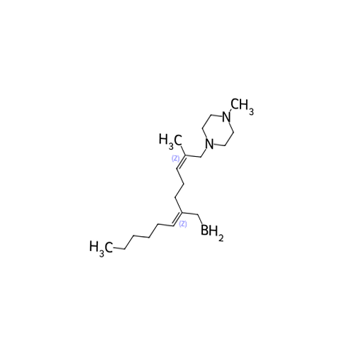 BC/C(=C/CCCCC)CC/C=C(/C)CN1CCN(C)CC1